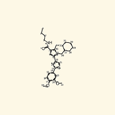 CCCCNC(=O)c1cc(-c2csc(-c3ccc(OC)c(OC)c3)n2)n(CC2CCCCC2)c1C